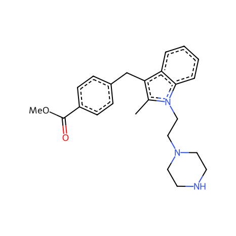 COC(=O)c1ccc(Cc2c(C)n(CCN3CCNCC3)c3ccccc23)cc1